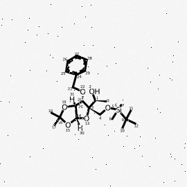 C[C@H](O)[C@]1(CO[Si](C)(C)C(C)(C)C)O[C@@H]2OC(C)(C)O[C@@H]2[C@@H]1OCc1ccccc1